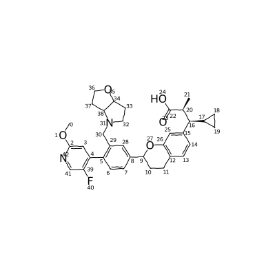 COc1cc(-c2ccc(C3CCc4ccc([C@H](C5CC5)[C@H](C)C(=O)O)cc4O3)cc2CN2CCC3OCCC32)c(F)cn1